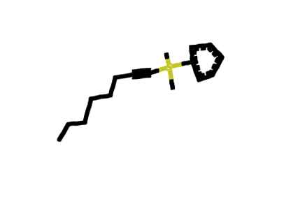 CCCCCCC#CS(C)(C)c1ccccc1